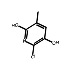 Cc1cc(O)c(Cl)nc1O